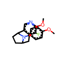 COc1ccc(N2C3CCC2c2cnc(OC)c(F)c2C3)cc1